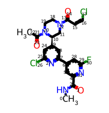 CNC(=O)c1cc(-c2cc([C@@H]3CN(C(=O)/C=C\Cl)CCN3C(C)=O)cc(Cl)n2)cc(F)n1